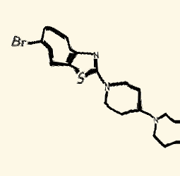 Brc1ccc2nc(N3CCC(N4CCCCC4)CC3)sc2c1